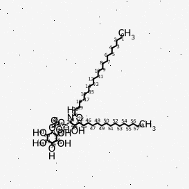 CCCCCCCCCCCCCCCCCCCCCC(=O)N[C@@H](COP(=O)(O)OC1C(O)C(O)C(O)[C@@H](O)C1O)[C@H](O)CCCCCCCCCCCCCCC